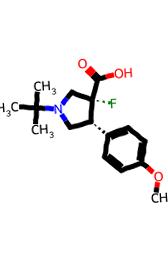 COc1ccc([C@@H]2CN(C(C)(C)C)C[C@@]2(F)C(=O)O)cc1